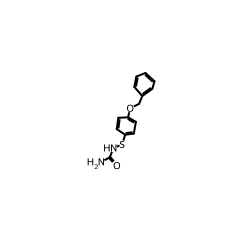 NC(=O)NSc1ccc(OCc2ccccc2)cc1